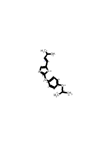 CC(O)/C=C/c1cnc(Oc2ccc(OC(C)C)cc2)s1